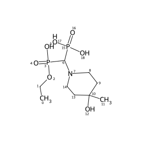 CCOP(=O)(O)C(N1CCC(C)(O)CC1)P(=O)(O)O